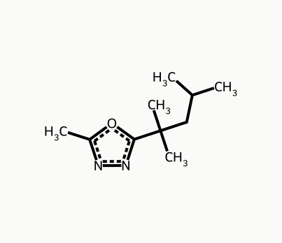 Cc1nnc(C(C)(C)CC(C)C)o1